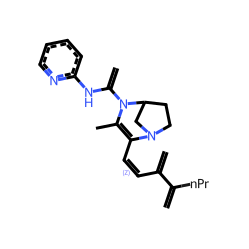 C=C(/C=C\C1=C(C)N(C(=C)Nc2ccccn2)C2CCN1C2)C(=C)CCC